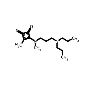 CCCN(CCC)CCCN(C)c1c(C)c(=S)c1=O